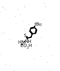 CC(C)(C)c1ccc(CC(=S)NNC(=O)O)cc1